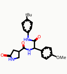 COc1ccc(C(NC(=O)C2CNC(=O)C2)C(=O)Nc2ccc(C(C)(C)C)cc2)cc1